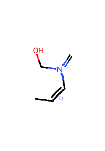 C=[N+](/C=C\C)CO